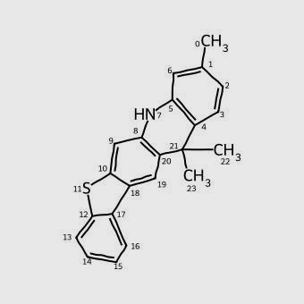 Cc1ccc2c(c1)Nc1cc3sc4ccccc4c3cc1C2(C)C